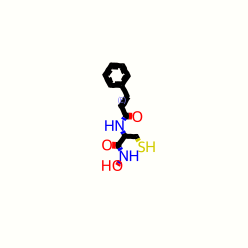 O=C(/C=C/c1ccccc1)NC(CS)C(=O)NO